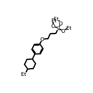 CCO[Si](CCCOc1ccc(C2CCC(CC)CC2)cc1)(OCC)OCC